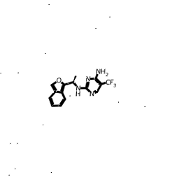 C[C@@H](Nc1ncc(C(F)(F)F)c(N)n1)c1occ2ccccc12